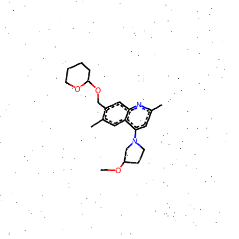 COC1CCN(c2cc(C)nc3cc(COC4CCCCO4)c(C)cc23)C1